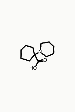 O=C(O)C1(N2CCCCC2)CCCCC1